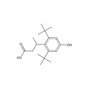 CC(CC(=O)O)c1c(C(C)(C)C)cc(O)cc1C(C)(C)C